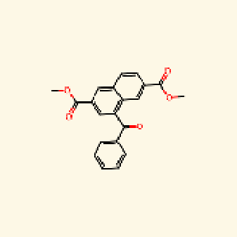 COC(=O)c1cc(C(=O)c2ccccc2)c2cc(C(=O)OC)ccc2c1